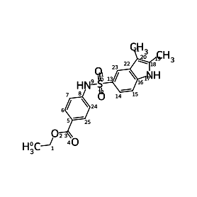 CCOC(=O)c1ccc(NS(=O)(=O)c2ccc3[nH]c(C)c(C)c3c2)cc1